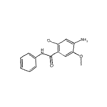 COc1cc(C(=O)Nc2ccccc2)c(Cl)cc1N